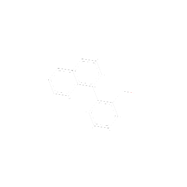 OBc1ccccc1-c1cccc2ccccc12